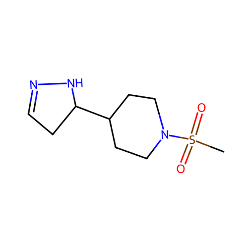 CS(=O)(=O)N1CCC(C2CC=NN2)CC1